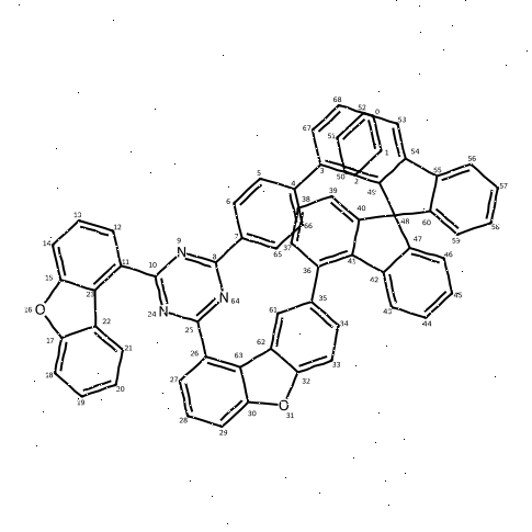 c1ccc(-c2ccc(-c3nc(-c4cccc5oc6ccccc6c45)nc(-c4cccc5oc6ccc(-c7cccc8c7-c7ccccc7C87c8ccccc8-c8ccccc87)cc6c45)n3)cc2)cc1